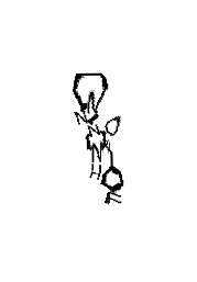 O=C1[C@@H](Cc2ccc(F)cc2)NCCN1c1cn2ccccc2n1